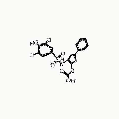 O=C(O)Oc1sc(-c2ccccc2)cc1NS(=O)(=O)c1cc(Cl)c(O)c(Cl)c1